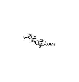 COCCCS(=O)(=O)N1CC[C@@H](NC(=O)c2cc(C3CC3)on2)C[C@@H]1C